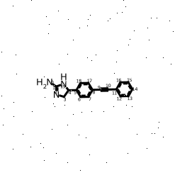 NC1=NCC(c2ccc(C#Cc3ccccc3)cc2)N1